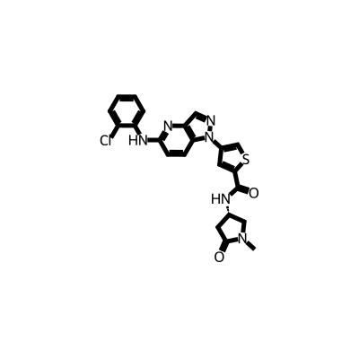 CN1C[C@@H](NC(=O)c2cc(-n3ncc4nc(Nc5ccccc5Cl)ccc43)cs2)CC1=O